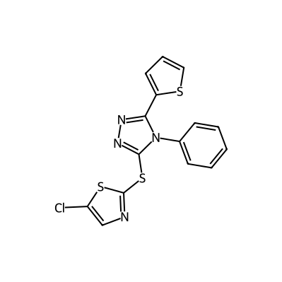 Clc1cnc(Sc2nnc(-c3cccs3)n2-c2ccccc2)s1